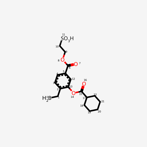 BCc1ccc(C(=O)OCCS(=O)(=O)O)cc1OC(=O)C1CCCCC1